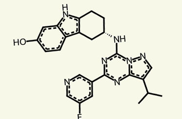 CC(C)c1cnn2c(N[C@H]3CCc4[nH]c5cc(O)ccc5c4C3)nc(-c3cncc(F)c3)nc12